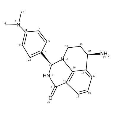 CN(C)c1ccc([C@@H]2NC(=O)c3cccc4c3N2CC[C@H]4N)cc1